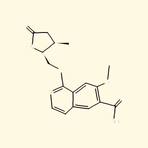 COc1cc2c(OC[C@H]3NC(=O)C[C@H]3C)nccc2cc1C(N)=O